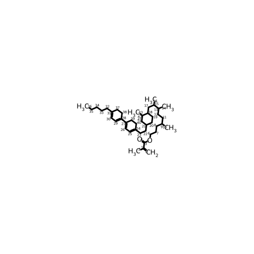 C=C(C)C(=O)OCCCC(C)CCC(C)C(C)CC1CCC(CCC2=CC=C(C3=CC=C(CCCCC)CC3)CC2)CC1C